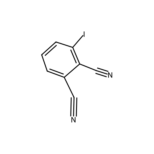 N#Cc1cccc(I)c1C#N